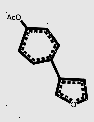 CC(=O)Oc1ccc(-c2ccoc2)cc1